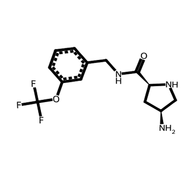 N[C@@H]1CN[C@H](C(=O)NCc2cccc(OC(F)(F)F)c2)C1